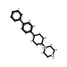 [c]1ccccc1-c1ccc(C2CCC(N3CCOCC3)CC2)cc1